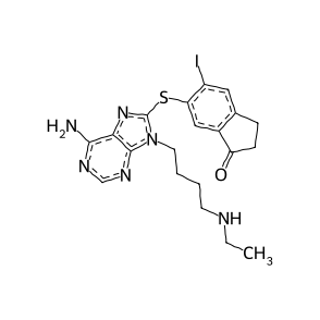 CCNCCCCn1c(Sc2cc3c(cc2I)CCC3=O)nc2c(N)ncnc21